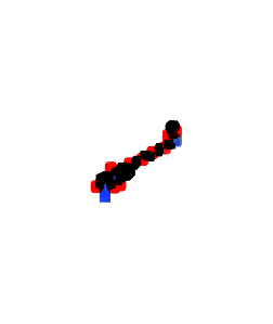 CN(CCOCCOCCOCCOc1ccc2c(c1)C(=O)N(C1CCC(=O)NC1=O)C2=O)C(=O)OC(C)(C)C